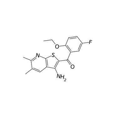 CCOc1ccc(F)cc1C(=O)c1sc2nc(C)c(C)cc2c1N